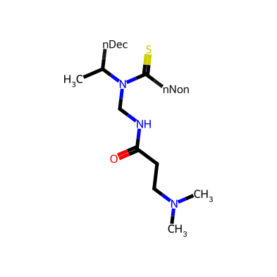 CCCCCCCCCCC(C)N(CNC(=O)CCN(C)C)C(=S)CCCCCCCCC